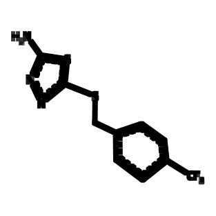 Nc1nnc(SCc2ccc(C(F)(F)F)cc2)s1